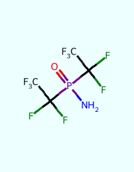 NP(=O)(C(F)(F)C(F)(F)F)C(F)(F)C(F)(F)F